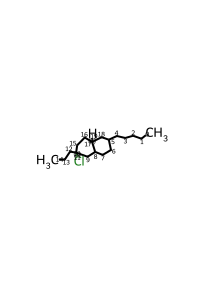 CCCCCC1CCC2C[C@](Cl)(CCC)CC[C@@H]2C1